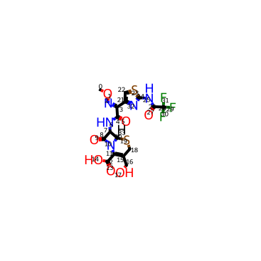 CON=C(C(=O)NC1C(=O)N2C(C(=O)O)=C(CO)CS[C@@H]12)c1csc(NC(=O)C(F)(F)F)n1